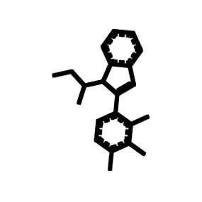 CCC(C)[C]1C(c2ccc(C)c(C)c2C)=Cc2ccccc21